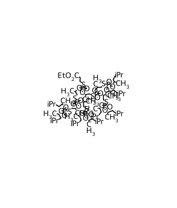 CCOC(=O)CCSP(=O)(OC(C)CSP(=O)(OC(C)CSP(=O)(OC(C)CC(C)C)OC(C)CC(C)C)OC(C)CSP(=O)(OC(C)CC(C)C)OC(C)CC(C)C)OC(C)CSP(=O)(OC(C)CSP(=O)(OC(C)CC(C)C)OC(C)CC(C)C)OC(C)CSP(=O)(OC(C)CC(C)C)OC(C)CC(C)C